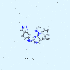 CCNN(c1nc(Nc2ccc(CN)cc2)ncc1NC)C1CCCC1